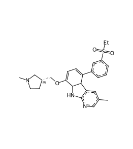 CCS(=O)(=O)c1cccc(C2=CC=C(OC[C@@H]3CCN(C)C3)C3Nc4ncc(C)cc4C23)c1